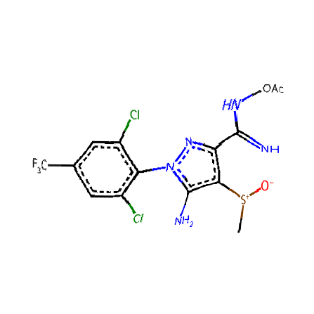 CC(=O)ONC(=N)c1nn(-c2c(Cl)cc(C(F)(F)F)cc2Cl)c(N)c1[S+](C)[O-]